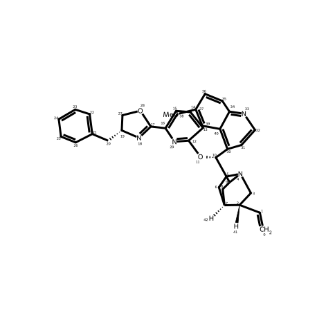 C=C[C@H]1CN2CC[C@H]1CC2[C@H](Oc1cccc(C2=N[C@H](Cc3ccccc3)CO2)n1)c1ccnc2ccc(OC)cc12